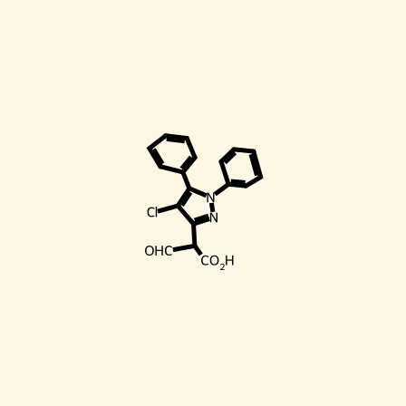 O=CC(C(=O)O)c1nn(-c2ccccc2)c(-c2ccccc2)c1Cl